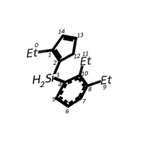 CCC1=C([SiH2]c2cccc(CC)c2CC)CC=C1